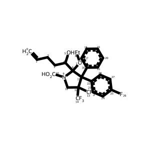 C=CCCC(O)C1(OCC)N(C(=O)O)CC(C(F)(F)F)(C(F)(F)F)C1(c1ccccc1)c1ccc(F)cc1